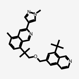 Cc1ccc(C(C)(C)COCc2cc(C(C)(C)C)c3cnccc3c2)c2cnc(-c3cnn(C)c3)cc12